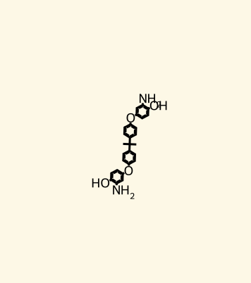 CC(C)(c1ccc(Oc2ccc(O)c(N)c2)cc1)c1ccc(Oc2ccc(O)c(N)c2)cc1